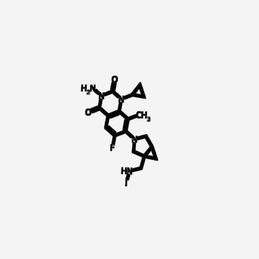 Cc1c(N2CC3CC3(CNI)C2)c(F)cc2c(=O)n(N)c(=O)n(C3CC3)c12